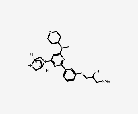 CNCC(O)COc1cccc(-c2nc(N(C)C3CCOCC3)cc(N3C[C@H]4C[C@@H]3CN4)n2)c1